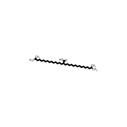 CC(C)CCCCCCCCCCCCCC(CCCCCCCCCCCCCC(C)C)C(=O)O